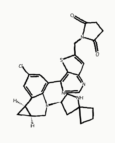 O=C1CCC(=O)N1Cc1cc2ncnc(-c3cc(Cl)cc4c3N([C@H]3CNC5(CCC5)C3)C[C@H]3C[C@@H]43)c2s1